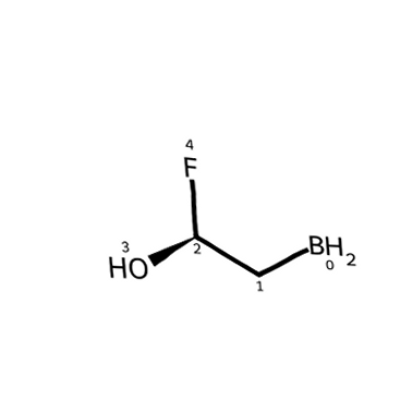 BC[C@@H](O)F